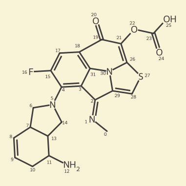 CN=c1c2c(N3CC4C=CCC(N)C4C3)c(F)cc3c(=O)c(OC(=O)O)c4scc1n4c32